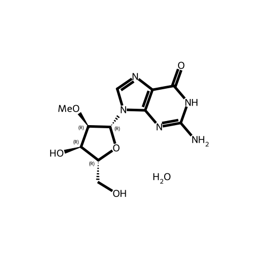 CO[C@@H]1[C@H](O)[C@@H](CO)O[C@H]1n1cnc2c(=O)[nH]c(N)nc21.O